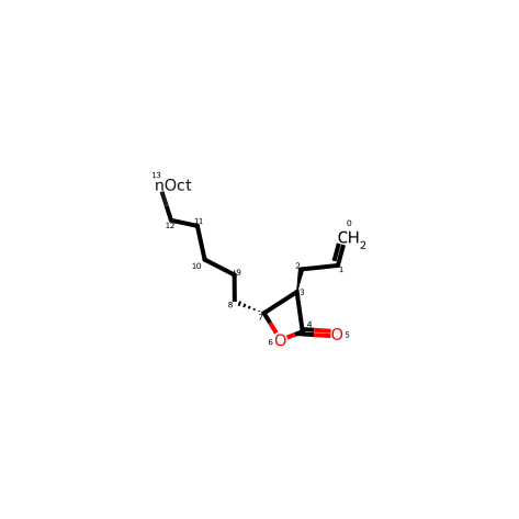 C=CC[C@H]1C(=O)O[C@@H]1C[CH]CCCCCCCCCCC